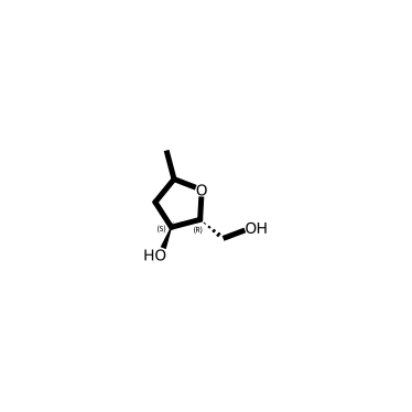 CC1C[C@H](O)[C@@H](CO)O1